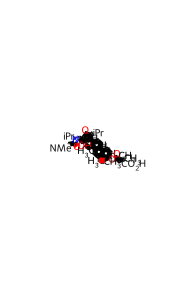 CNCC(=O)N(C[C@H](O)[C@@]12CC[C@]3(C)[C@H](CC[C@@H]4[C@@]5(C)CC[C@H](OC(=O)CC(C)(C)C(=O)O)C(C)(C)[C@@H]5CC[C@]43C)C1=C(C(C)C)C(=O)C2)C(C)C